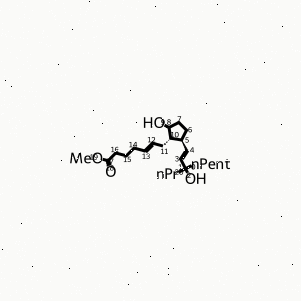 CCCCCC(O)(C=C[C@@H]1CCC(O)[C@H]1CC=CCCCC(=O)OC)CCC